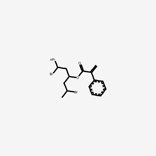 C=C(C(=O)OC(CC(C)Br)CC(Br)CCC)c1ccccc1